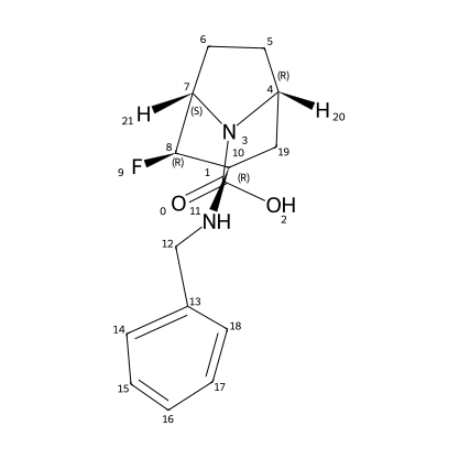 O=C(O)N1[C@@H]2CC[C@H]1[C@H](F)[C@H](NCc1ccccc1)C2